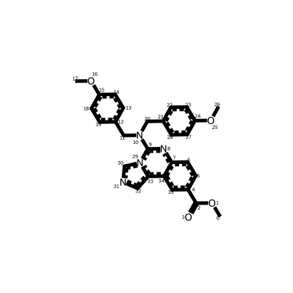 COC(=O)c1ccc2nc(N(Cc3ccc(OC)cc3)Cc3ccc(OC)cc3)n3cncc3c2c1